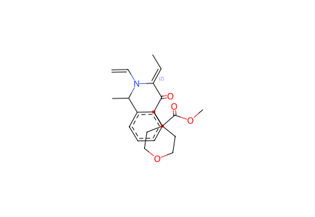 C=CN(/C(=C\C)C(=O)CC1(C(=O)OC)CCOCC1)C(C)c1ccccc1